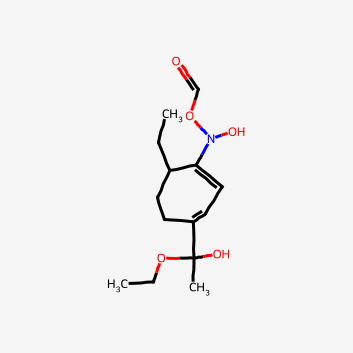 CCOC(C)(O)C1=CC=C(N(O)OC=O)C(CC)CC1